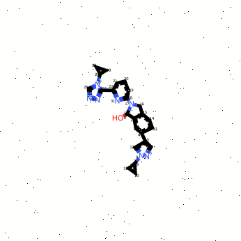 OC1c2cc(-c3cnn(C4CC4)c3)ccc2CN1c1cccc(-c2nncn2C2CC2)n1